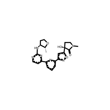 C[C@H]1OCC[C@@H]1Nc1nccc(-c2cccc(-c3cc([C@]4(O)CCN(C)C4=O)on3)n2)n1